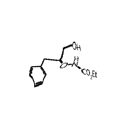 CCOC(=O)NOC(CO)Cc1ccccc1